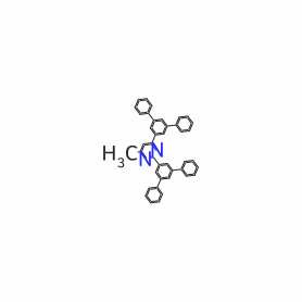 Cc1cc(-c2cc(-c3ccccc3)cc(-c3ccccc3)c2)nc(-c2cc(-c3ccccc3)cc(-c3ccccc3)c2)n1